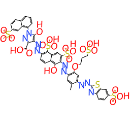 Cc1cc(N=Nc2c(S(=O)(=O)O)cc3c(S(=O)(=O)O)c(N=Nc4c(C(=O)O)nn(-c5cccc6ccc(S(=O)(=O)O)cc56)c4O)ccc3c2O)c(OCCCS(=O)(=O)O)cc1N=Nc1nc2ccc(S(=O)(=O)O)cc2s1